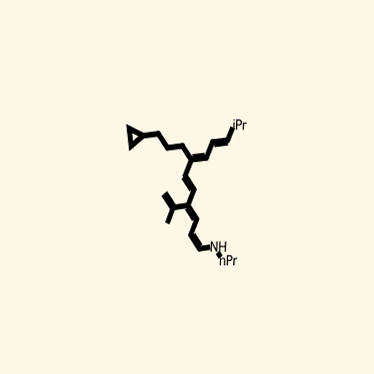 C=C(C)C(=C\C=C/NCCC)/C=C/C(=C/C=C/C(C)C)CCCC1CC1